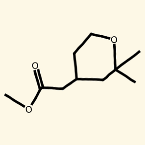 COC(=O)CC1CCOC(C)(C)C1